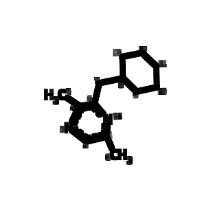 Cc1cnc(C)c(CC2CCCCC2)n1